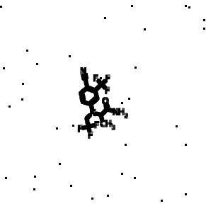 CC(C(N)=O)N(CC(F)(F)F)c1ccc(C#N)c(C(F)(F)F)c1